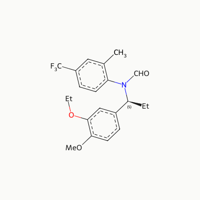 CCOc1cc([C@H](CC)N(C=O)c2ccc(C(F)(F)F)cc2C)ccc1OC